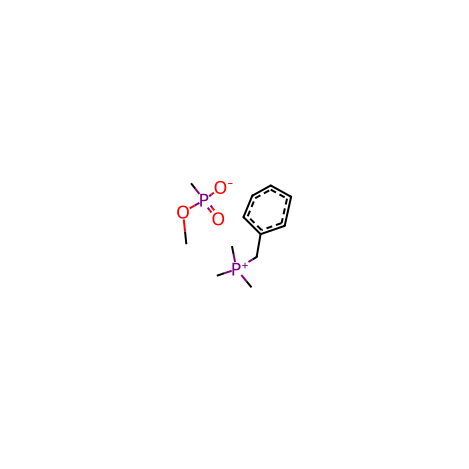 COP(C)(=O)[O-].C[P+](C)(C)Cc1ccccc1